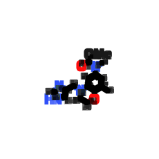 COC(=O)N(C)c1cc(C)c2c(c1)N(Cc1c[nH]cn1)CCO2